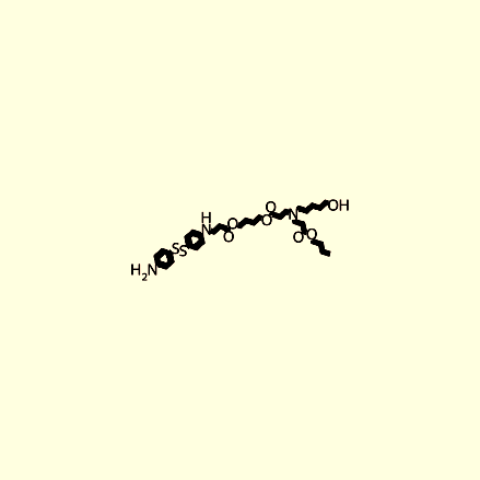 CCCCOC(=O)CCN(CCCCCO)CCC(=O)OCCCCOC(=O)CCNc1ccc(SSc2ccc(N)cc2)cc1